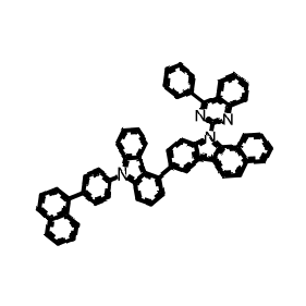 c1ccc(-c2nc(-n3c4ccc(-c5cccc6c5c5ccccc5n6-c5ccc(-c6cccc7ccccc67)cc5)cc4c4ccc5ccccc5c43)nc3ccccc23)cc1